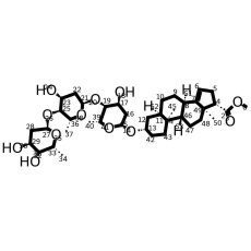 COC(=O)[C@H]1CC=C2[C@@H]3CC[C@@H]4C[C@@H](O[C@@H]5C[C@H](O)[C@H](O[C@@H]6C[C@H](O)[C@H](O[C@@H]7C[C@H](O)[C@H](O)[C@@H](C)O7)[C@@H](C)O6)[C@@H](C)O5)CC[C@]4(C)[C@H]3CC[C@@]21C